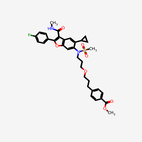 CNC(=O)c1c(-c2ccc(F)cc2)oc2cc(N(CCCOCCCc3ccc(C(=O)OC)cc3)S(C)(=O)=O)c(C3CC3)cc12